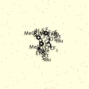 CCOP(=S)(OCC)SCSC(C)(C)C.CCOP(=S)(OCC)SCSC(C)(C)C.COP(=S)(OC)Oc1ccc(Sc2ccc(OP(=S)(OC)OC)cc2)cc1.Cc1c(F)c(F)c(COC(=O)C2C(/C=C(\Cl)C(F)(F)F)C2(C)C)c(F)c1F